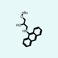 CCCCOCC(O)CNc1c2ccccc2cc2ccccc12